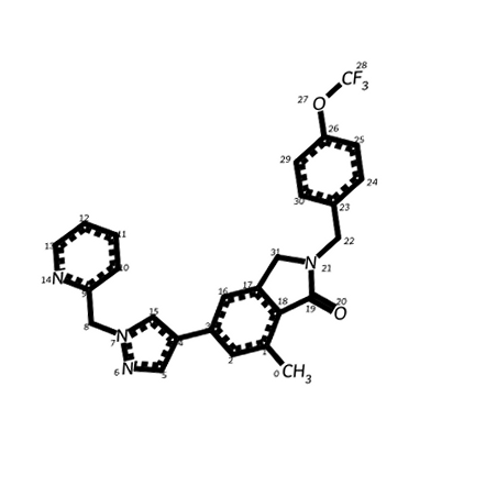 Cc1cc(-c2cnn(Cc3ccccn3)c2)cc2c1C(=O)N(Cc1ccc(OC(F)(F)F)cc1)C2